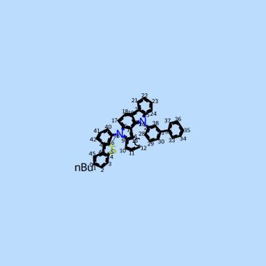 CCCCc1ccc2sc3c(-n4c5ccccc5c5c4ccc4c6ccccc6n(-c6cccc(-c7ccccc7)c6)c45)cccc3c2c1